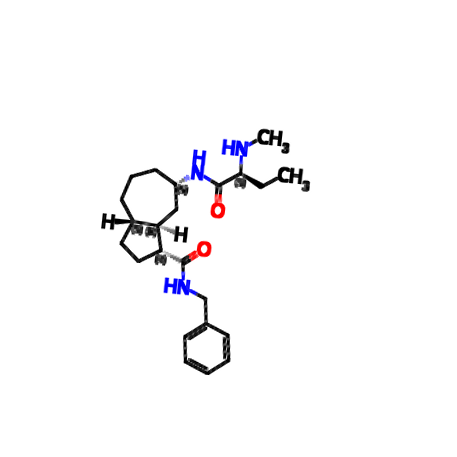 CC[C@H](NC)C(=O)N[C@H]1CCC[C@H]2CC[C@@H](C(=O)NCc3ccccc3)[C@@H]2C1